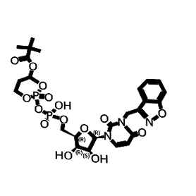 CC(C)(C)C(=O)OC1CCOP(=O)(OP(=O)(O)OC[C@H]2O[C@@H](n3ccc(=O)n(Cc4noc5ccccc45)c3=O)[C@@H](O)[C@H]2O)O1